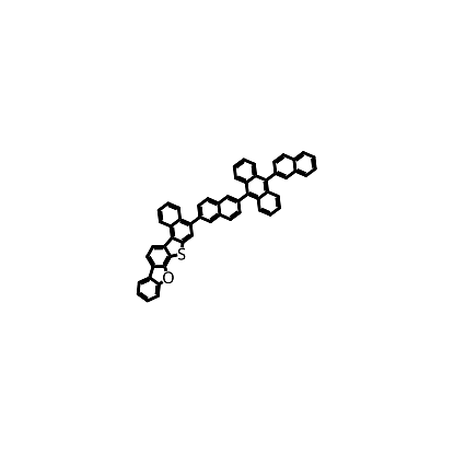 c1ccc2cc(-c3c4ccccc4c(-c4ccc5cc(-c6cc7sc8c(ccc9c%10ccccc%10oc98)c7c7ccccc67)ccc5c4)c4ccccc34)ccc2c1